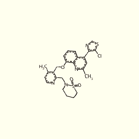 Cc1cc(-c2ncsc2Cl)c2cccc(OCc3c(C)ccnc3CN3CCCCS3(=O)=O)c2n1